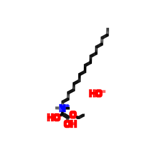 CCCCCCCCCCCCCCCCC[N+](C)(C)C(O)=C(O)OCC.[OH-]